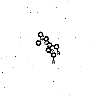 N#Cc1ccc2c(c1)c1ccccc1n2-c1c(C#N)cccc1-c1ccc2sc3c(ccc4c5ccccc5n(-c5ccccc5)c43)c2c1